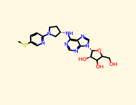 CSc1ccc(N2CC[C@H](Nc3ncnc4c3ncn4[C@@H]3OC(CO)C(O)[C@H]3O)C2)nc1